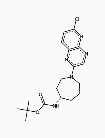 CC(C)(C)OC(=O)N[C@H]1CCCN(c2cnc3nc(Cl)ccc3n2)CC1